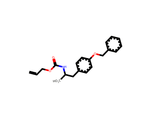 C=CCOC(=O)NC(Cc1ccc(OCc2ccccc2)cc1)C(=O)O